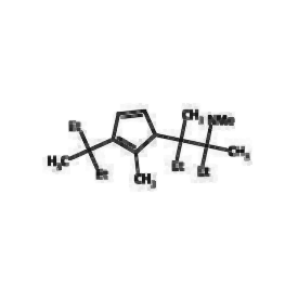 CCC(C)(CC)C1=C(C)C(C(C)(CC)C(C)(CC)NC)C=C1